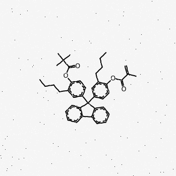 C=C(C)C(=O)Oc1ccc(C2(c3ccc(OC(=O)C(C)(C)C)c(CCCC)c3)c3ccccc3-c3ccccc32)cc1CCCC